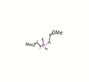 COCC[P+](C)(C)CCOC